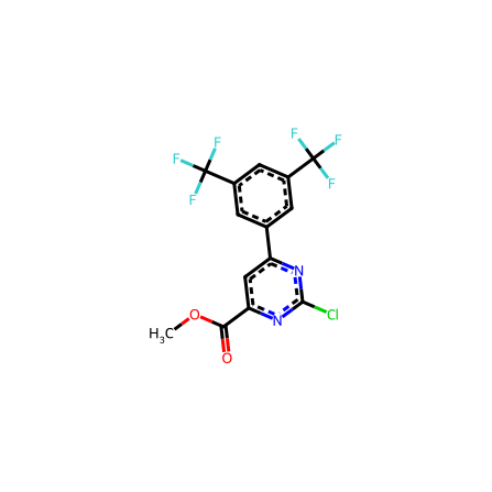 COC(=O)c1cc(-c2cc(C(F)(F)F)cc(C(F)(F)F)c2)nc(Cl)n1